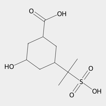 CC(C)(C1CC(O)CC(C(=O)O)C1)S(=O)(=O)O